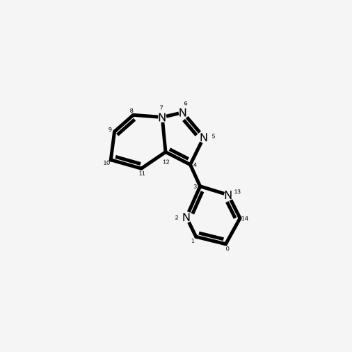 c1cnc(-c2nnn3ccccc23)nc1